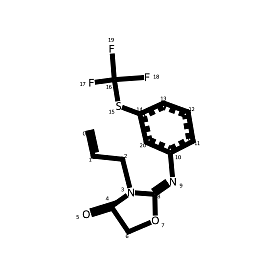 C=CCN1C(=O)COC1=Nc1cccc(SC(F)(F)F)c1